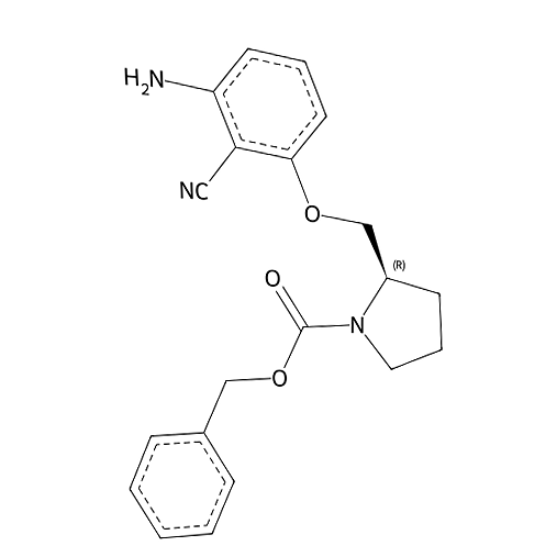 N#Cc1c(N)cccc1OC[C@H]1CCCN1C(=O)OCc1ccccc1